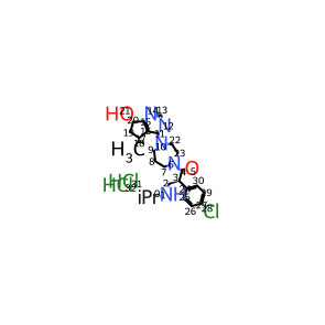 CC(C)NC[C@@H](C(=O)N1CCCN(c2ncnc3c2[C@H](C)C[C@H]3O)CC1)c1ccc(Cl)cc1.Cl.Cl